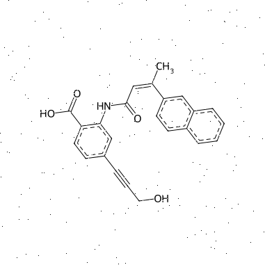 C/C(=C/C(=O)Nc1cc(C#CCO)ccc1C(=O)O)c1ccc2ccccc2c1